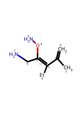 C=C(C)/C(CC)=C(/CN)ON